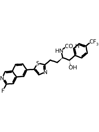 O=C(O)N[C@H](CCc1ncc(-c2ccc3cnc(F)cc3c2)s1)[C@@H](O)c1ccc(C(F)(F)F)cc1